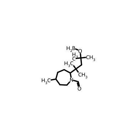 BOC(C)(C)CC(C)(C)C1CCC(C)CCN1C=O